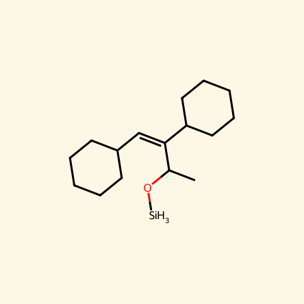 CC(O[SiH3])C(=CC1CCCCC1)C1CCCCC1